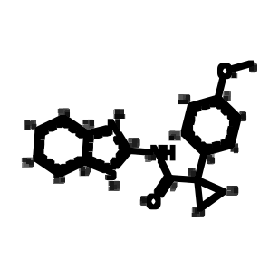 COc1ccc(C2(C(=O)Nc3nc4ccccc4s3)CC2)cc1